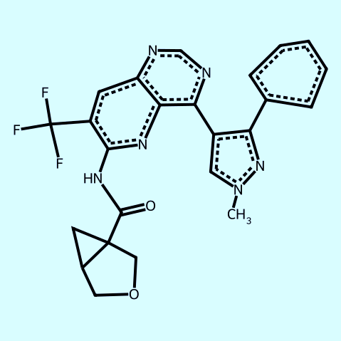 Cn1cc(-c2ncnc3cc(C(F)(F)F)c(NC(=O)C45COCC4C5)nc23)c(-c2ccccc2)n1